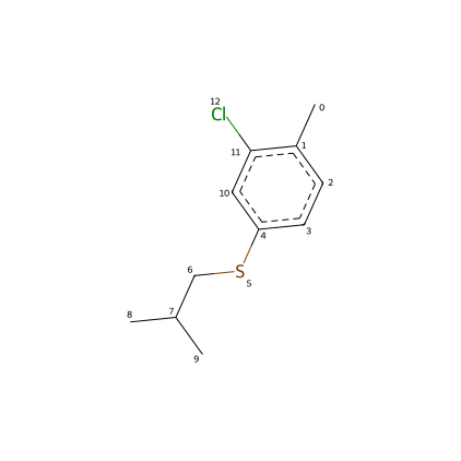 Cc1ccc(SCC(C)C)cc1Cl